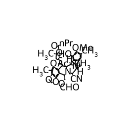 CCCC(=O)O[C@H](C)CS[C@@H]1c2c(OC(C)=O)c(C)c3c(c2[C@H](COC=O)N2C1[C@@H]1c4c(cc(C)c(OC)c4O)C[C@@H]([C@@H]2C#N)N1C)OCO3